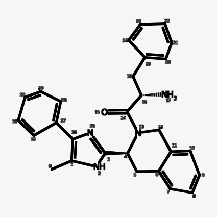 Cc1[nH]c([C@@H]2Cc3ccccc3CN2C(=O)[C@@H](N)Cc2ccccc2)nc1-c1ccccc1